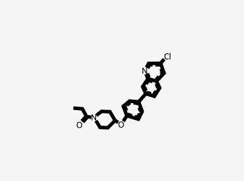 CCC(=O)N1CCC(Oc2ccc(-c3ccc4cc(Cl)cnc4c3)cc2)CC1